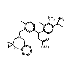 COC(=O)CC(c1ccc(C)c(CN2Cc3ccccc3OC3(CC3)C2)c1)c1ccc(N(C)N)c(N)c1C